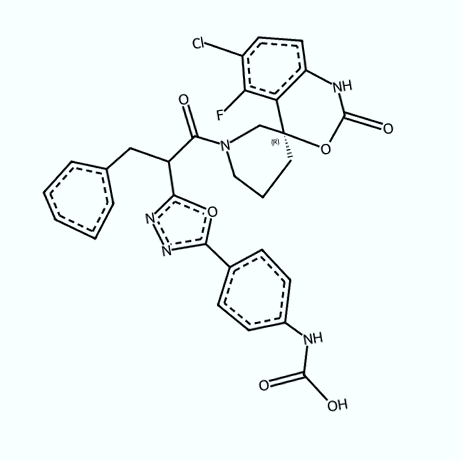 O=C(O)Nc1ccc(-c2nnc(C(Cc3ccccc3)C(=O)N3CCC[C@@]4(C3)OC(=O)Nc3ccc(Cl)c(F)c34)o2)cc1